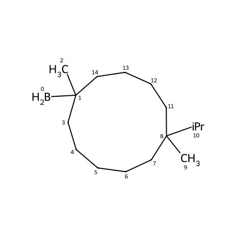 BC1(C)CCCCCC(C)(C(C)C)CCCC1